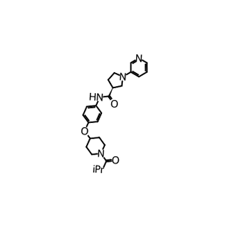 CC(C)C(=O)N1CCC(Oc2ccc(NC(=O)[C@H]3CCN(c4cccnc4)C3)cc2)CC1